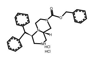 Cl.Cl.O=C(OCc1ccccc1)N1CCN2[C@@H](CNC[C@H]2C(c2ccccc2)c2ccccc2)C1